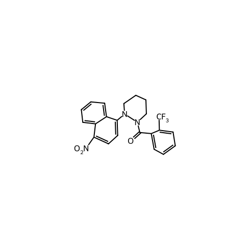 O=C(c1ccccc1C(F)(F)F)N1CCCCN1c1ccc([N+](=O)[O-])c2ccccc12